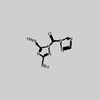 CCCCCCc1nc(CCCC)nn1C(=O)n1cncn1